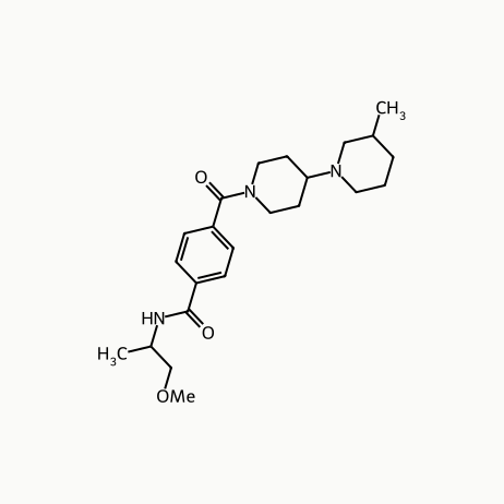 COCC(C)NC(=O)c1ccc(C(=O)N2CCC(N3CCCC(C)C3)CC2)cc1